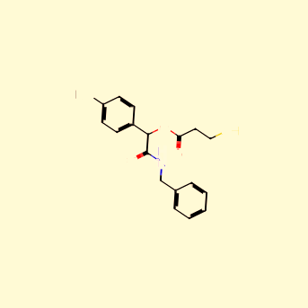 Cc1ccc(C(OC(=O)CCS)C(=O)NCc2ccccc2)cc1